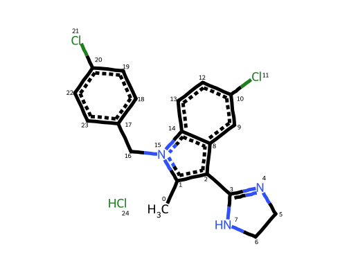 Cc1c(C2=NCCN2)c2cc(Cl)ccc2n1Cc1ccc(Cl)cc1.Cl